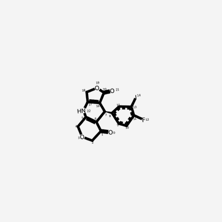 O=C1COCC2=C1[C@H](c1ccc(F)c(I)c1)C1=C(COC1=O)N2